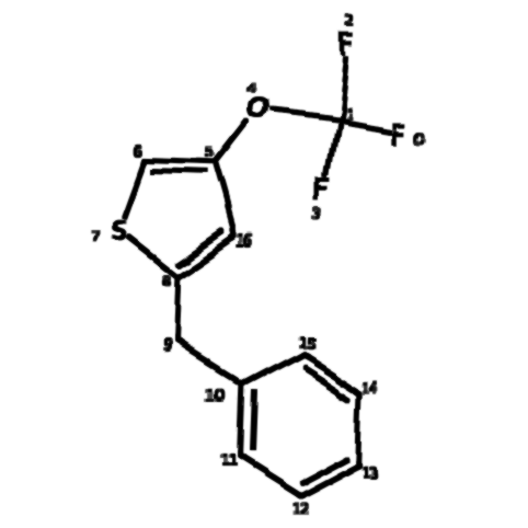 FC(F)(F)Oc1csc(Cc2ccccc2)c1